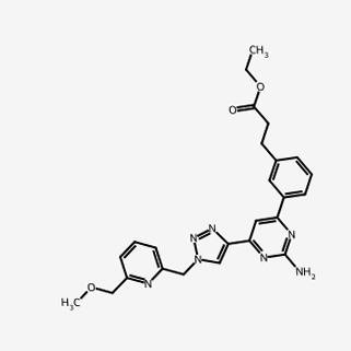 CCOC(=O)CCc1cccc(-c2cc(-c3cn(Cc4cccc(COC)n4)nn3)nc(N)n2)c1